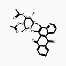 CC(=O)O[C@H]1[C@H](F)[C@@H](Oc2c(O)c3c(c4cccnc24)C(=O)c2ccccc2C3=O)O[C@@H](C)[C@H]1OC(C)=O